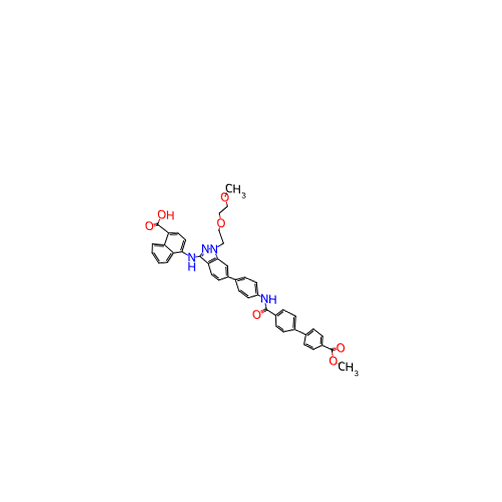 COCCOCCn1nc(Nc2ccc(C(=O)O)c3ccccc23)c2ccc(-c3ccc(NC(=O)c4ccc(-c5ccc(C(=O)OC)cc5)cc4)cc3)cc21